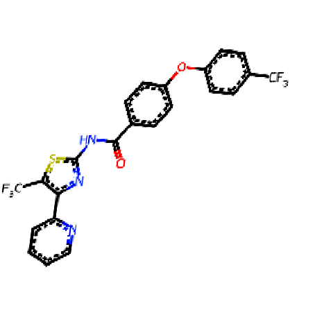 O=C(Nc1nc(-c2ccccn2)c(C(F)(F)F)s1)c1ccc(Oc2ccc(C(F)(F)F)cc2)cc1